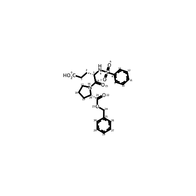 O=C(O)CC[C@H](NS(=O)(=O)c1ccccc1)C(=O)N1CCC[C@H]1C(=O)OCc1ccccc1